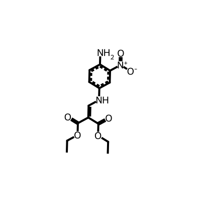 CCOC(=O)C(=CNc1ccc(N)c([N+](=O)[O-])c1)C(=O)OCC